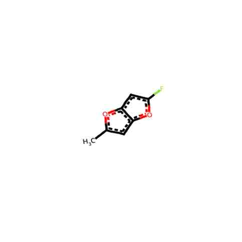 Cc1cc2oc(F)cc2o1